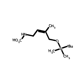 CC(=CCNC(=O)O)CO[Si](C)(C)C(C)(C)C